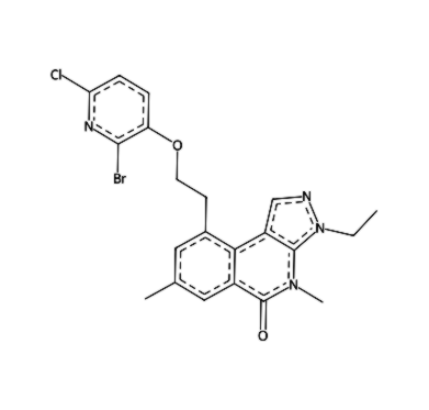 CCn1ncc2c3c(CCOc4ccc(Cl)nc4Br)cc(C)cc3c(=O)n(C)c21